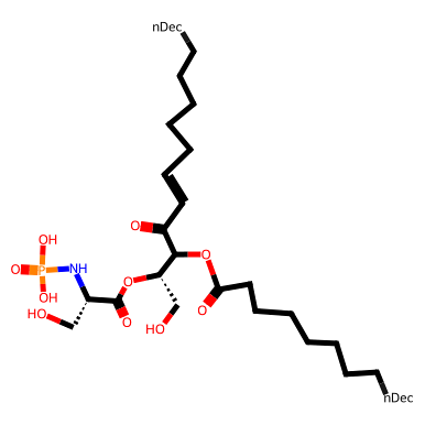 CCCCCCCCCCCCCCCC=CC(=O)C(OC(=O)CCCCCCCCCCCCCCCCC)[C@H](CO)OC(=O)[C@H](CO)NP(=O)(O)O